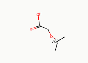 C[SiH](C)OCC(=O)O